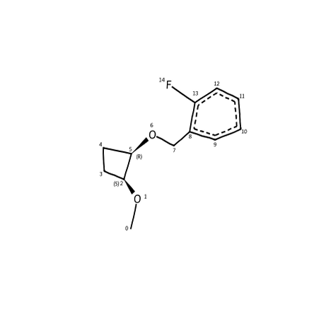 CO[C@H]1CC[C@H]1OCc1ccccc1F